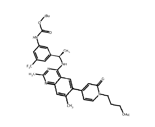 CC(=O)OCCCn1ccc(-c2cc3c(N[C@H](C)c4cc(NC(=O)OC(C)(C)C)cc(C(F)(F)F)c4)nc(C)nc3cc2C)cc1=O